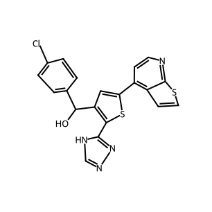 OC(c1ccc(Cl)cc1)c1cc(-c2ccnc3sccc23)sc1-c1nnc[nH]1